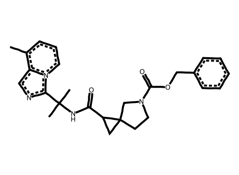 Cc1cccn2c(C(C)(C)NC(=O)C3CC34CCN(C(=O)OCc3ccccc3)C4)ncc12